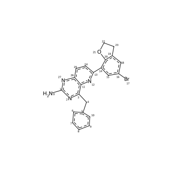 Nc1nc(Cc2ccccc2)c2nc(-c3cc(Br)cc4c3OCC4)ccc2n1